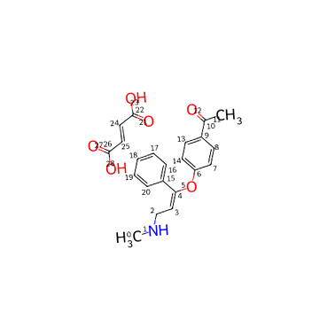 CNCC=C(Oc1ccc(C(C)=O)cc1)c1ccccc1.O=C(O)C=CC(=O)O